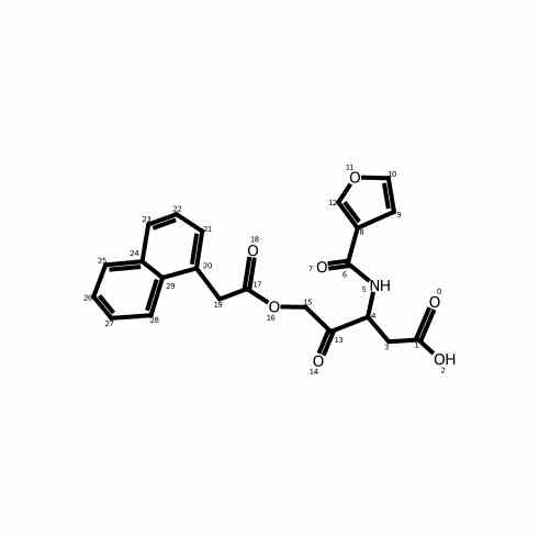 O=C(O)CC(NC(=O)c1ccoc1)C(=O)COC(=O)Cc1cccc2ccccc12